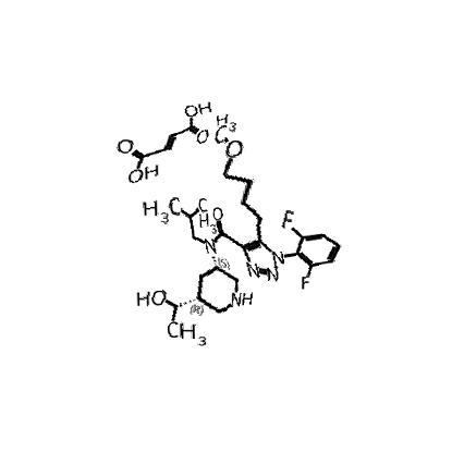 COCCCCc1c(C(=O)N(CC(C)C)[C@@H]2CNC[C@H](C(C)O)C2)nnn1-c1c(F)cccc1F.O=C(O)C=CC(=O)O